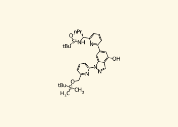 CCC[C@H](N[S@+]([O-])C(C)(C)C)c1cccc(-c2cc(O)c3cnn(-c4cccc(CO[Si](C)(C)C(C)(C)C)n4)c3c2)n1